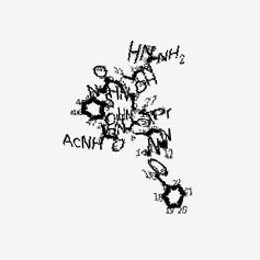 CC(=O)N[C@@H](CO)C(=O)N[C@@H](Cc1cncn1COCc1ccccc1)C(=O)N[C@@H](CC(C)C)C(=O)N[C@@H](CCCNC(=N)N)C(=O)c1nc2ccccc2s1